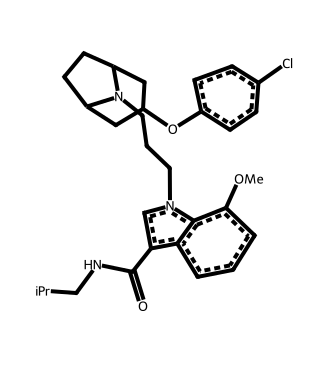 COc1cccc2c(C(=O)NCC(C)C)cn(CCCN3C4CCC3CC(Oc3ccc(Cl)cc3)C4)c12